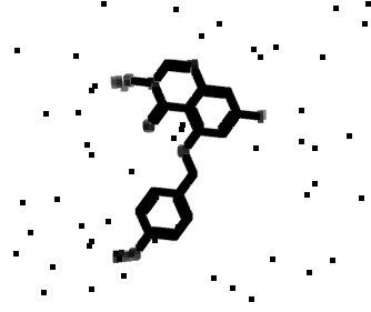 COc1ccc(COc2cc(F)cc3ncn(C)c(=O)c23)cc1